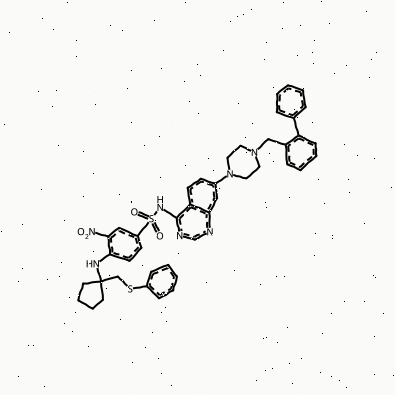 O=[N+]([O-])c1cc(S(=O)(=O)Nc2ncnc3cc(N4CCN(Cc5ccccc5-c5ccccc5)CC4)ccc23)ccc1NC1(CSc2ccccc2)CCCC1